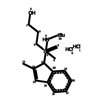 Cl.Cl.[CH2]=[Ti]([CH3])([CH2]CCO)([NH]C(C)(C)C)[CH]1C(C)=Cc2ccccc21